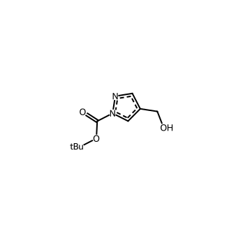 CC(C)(C)OC(=O)n1cc(CO)cn1